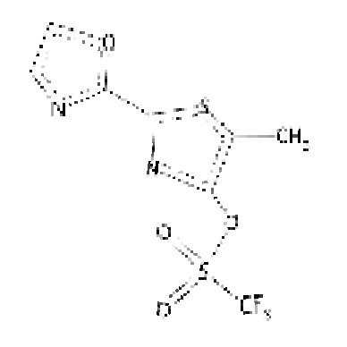 Cc1sc(-c2ncco2)nc1OS(=O)(=O)C(F)(F)F